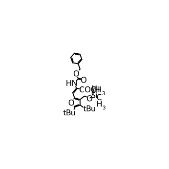 C[SiH](C)OCc1c(/C=C(/NC(=O)OCc2ccccc2)C(=O)O)oc(C(C)(C)C)c1C(C)(C)C